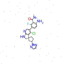 CN(C)C(=O)c1c(N)ccc(-c2cnc3c(c2Cl)C2(CCC(n4nccn4)C2)CN3)c1F